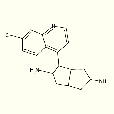 NC1CC2CC(N)C(c3ccnc4cc(Cl)ccc34)C2C1